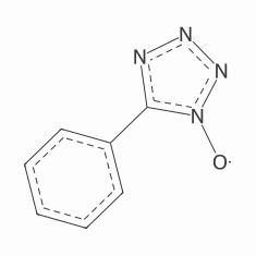 [O]n1nnnc1-c1ccccc1